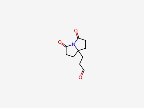 O=CCCC12CCC(=O)N1C(=O)CC2